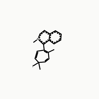 CC1=C(c2c3ccccc3cc[n+]2C)C=CC(C)(I)C=C1